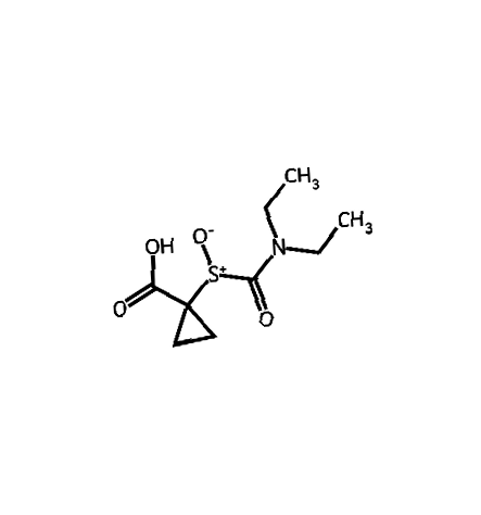 CCN(CC)C(=O)[S+]([O-])C1(C(=O)O)CC1